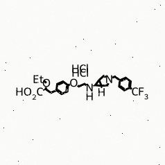 CCO[C@@H](Cc1ccc(OCCN[C@H]2C3CN(Cc4ccc(C(F)(F)F)cc4)C[C@@H]32)cc1)C(=O)O.Cl.Cl